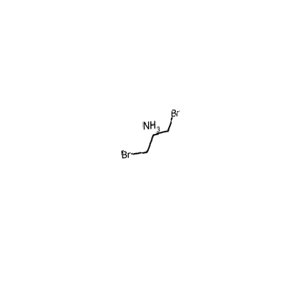 BrCCCBr.N